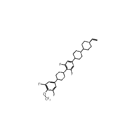 C=CC1CCC(C2CCC(c3cc(F)c(C4CCC(c5cc(F)c(OC(F)(F)F)c(F)c5)CC4)c(F)c3)CC2)CC1